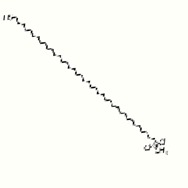 C[Si](Cl)(Cl)CCCCCCCCCCCCCCCCCCCCCCCCCCCCCCCCCCCCCCCS